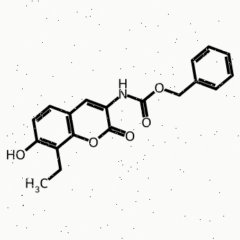 CCc1c(O)ccc2cc(NC(=O)OCc3ccccc3)c(=O)oc12